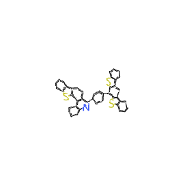 c1ccc2c(c1)nc(-c1ccc(-c3c4sc5ccccc5c4cc4c3sc3ccccc34)cc1)c1ccc3c4ccccc4sc3c12